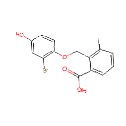 Cc1cccc(C(=O)O)c1COc1ccc(O)cc1Br